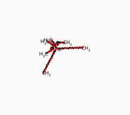 CCCCCC1=C(c2ccc(CCCCC)cc2)[N+](=[N-])C(c2ccc(CCCCC)cc2)=C1CCCC.CCCCCCCCCCCCCCCCCCCCC[CH2][Pd][CH2]CCCCCCCCCCCCCCCCCCCCC